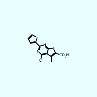 Cc1c(C(=O)O)sc2nc(-c3cccs3)nc(Cl)c12